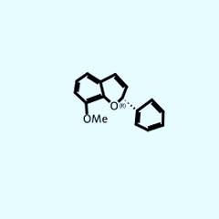 COc1cccc2c1O[C@@H](c1ccccc1)C=C2